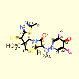 CC(=O)N(C1C(=O)N2CC(C(=O)O)(C(S)c3nnc(C)s3)CS[C@H]12)n1cc(I)c(=O)c(I)c1